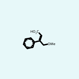 COC/C(=C/C(=O)O)c1ccccc1